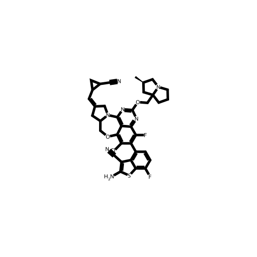 C[C@H]1CN2CCCC2(COc2nc3c4c(c(Cl)c(-c5ccc(F)c6sc(N)c(C#N)c56)c(F)c4n2)OCC2C/C(=C/C4CC4C#N)CN32)C1